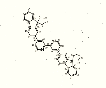 CCC1(CC)c2ccccc2-c2ccc(-c3ccnc(-c4cc(-c5ccc6c(c5)C(CC)(CC)c5ccccc5-6)ccn4)c3)cc21